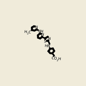 Cc1ccnc(Nc2cccc(-c3cnc(CNc4ccc(CC(=O)O)cc4)s3)n2)c1